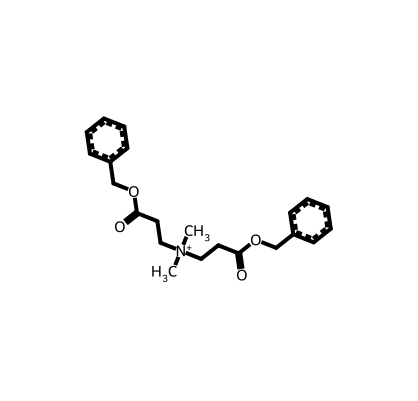 C[N+](C)(CCC(=O)OCc1ccccc1)CCC(=O)OCc1ccccc1